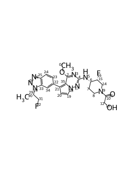 COc1nc(N[C@H]2CCN(C(=O)CO)C[C@H]2F)nn2ccc(-c3ccc4nnn([C@@H](C)CF)c4c3)c12